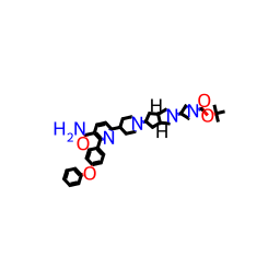 CC(C)(C)OC(=O)N1CC(N2C[C@H]3CC(N4CCC(c5ccc(C(N)=O)c(-c6ccc(Oc7ccccc7)cc6)n5)CC4)C[C@H]3C2)C1